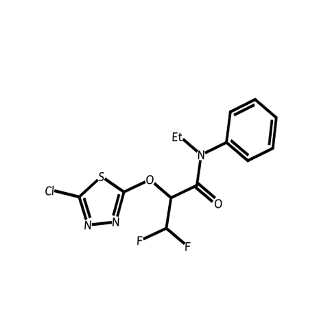 CCN(C(=O)C(Oc1nnc(Cl)s1)C(F)F)c1ccccc1